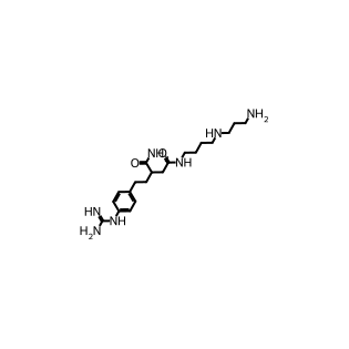 N=C(N)Nc1ccc(CCC(CC(=O)NCCCCNCCCN)C(N)=O)cc1